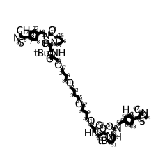 Cc1ncsc1-c1ccc(CNC(=O)[C@@H]2CCCN2C(=O)[C@@H](NC(=O)COCCCCOCCCCOCCCCOCC(=O)N[C@H](C(=O)N2CCC[C@H]2C(=O)NCc2ccc(-c3scnc3C)cc2)C(C)(C)C)C(C)(C)C)cc1